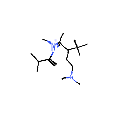 C=C(C(C)C)/[N+](C)=C(/C)C(CCN(C)C)C(C)(C)C